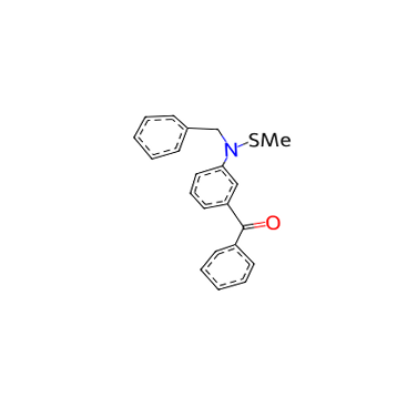 CSN(Cc1ccccc1)c1cccc(C(=O)c2ccccc2)c1